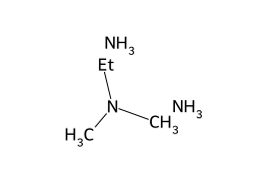 CCN(C)C.N.N